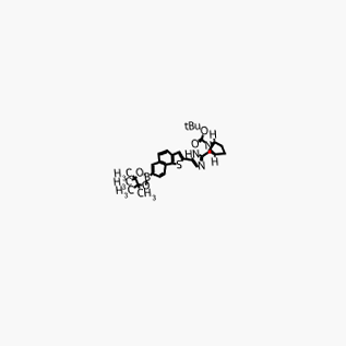 CC(C)(C)OC(=O)N1C(c2ncc(-c3cc4ccc5cc(B6OC(C)(C)C(C)(C)O6)ccc5c4s3)[nH]2)[C@H]2CC[C@@H]1C2